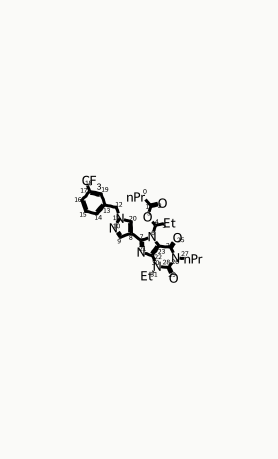 CCCC(=O)OC(CC)n1c(-c2cnn(Cc3cccc(C(F)(F)F)c3)c2)nc2c1c(=O)n(CCC)c(=O)n2CC